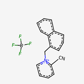 F[B-](F)(F)F.N#Cc1cccc[n+]1Cc1cccc2ccccc12